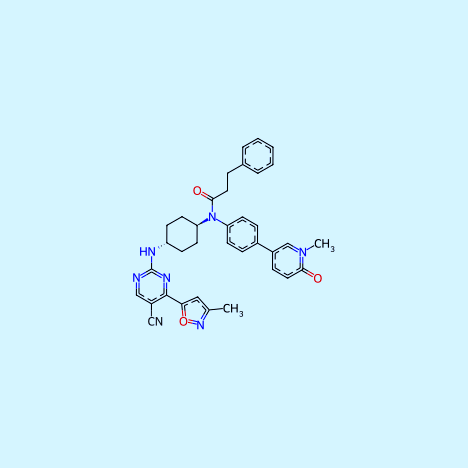 Cc1cc(-c2nc(N[C@H]3CC[C@H](N(C(=O)CCc4ccccc4)c4ccc(-c5ccc(=O)n(C)c5)cc4)CC3)ncc2C#N)on1